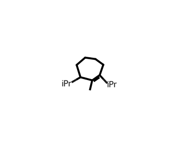 CC1=C(C(C)C)CCCCC1C(C)C